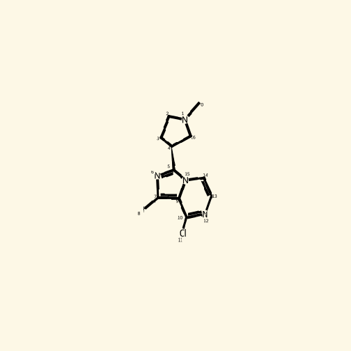 CN1CC[C@H](c2nc(I)c3c(Cl)nccn23)C1